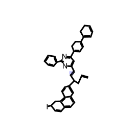 C=CCC(/C=C/c1cc(C2=CC=C(C3=CC=CCC3)CC2)nc(-c2ccccc2)n1)c1ccc2c3c(ccc2c1)C=CC(I)C3